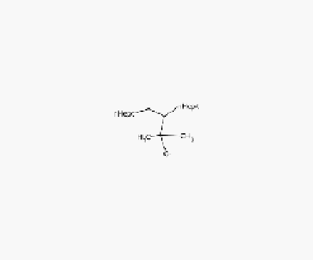 CCCCCCCCC(CCCCCCC)C(C)(C)[O]